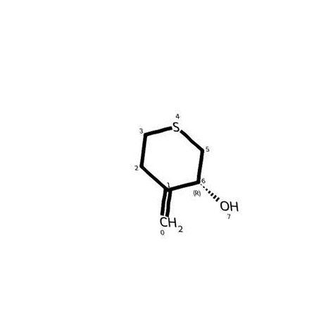 C=C1CCSC[C@@H]1O